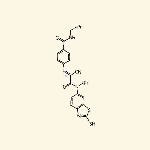 CC(C)CNC(=O)c1ccc(/C=C(\C#N)C(=O)N(c2ccc3nc(S)sc3c2)C(C)C)cc1